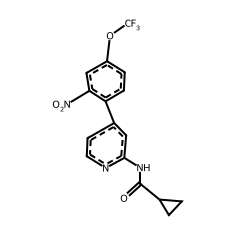 O=C(Nc1cc(-c2ccc(OC(F)(F)F)cc2[N+](=O)[O-])ccn1)C1CC1